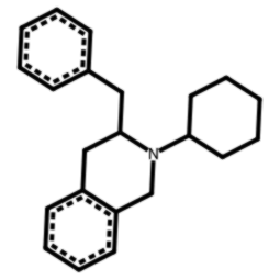 c1ccc(CC2Cc3ccccc3CN2C2CCCCC2)cc1